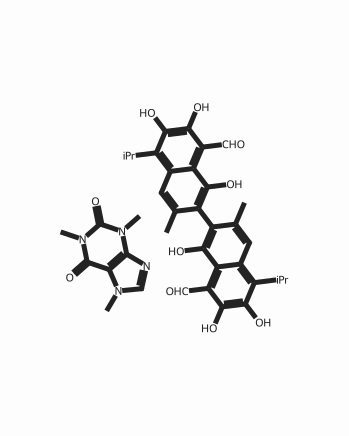 Cc1cc2c(C(C)C)c(O)c(O)c(C=O)c2c(O)c1-c1c(C)cc2c(C(C)C)c(O)c(O)c(C=O)c2c1O.Cn1c(=O)c2c(ncn2C)n(C)c1=O